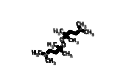 CN(C)CCC(C)(C)OOC(C)(C)CCN(C)C